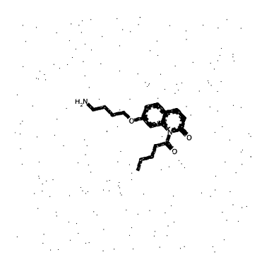 CCCCC(=O)n1c(=O)ccc2ccc(OCCCCN)cc21